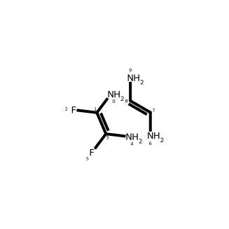 N/C(F)=C(\N)F.NC=CN